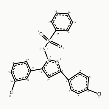 O=S(=O)(Nn1nc(-c2ccc(Cl)cc2)cc1-c1cccc(Cl)c1)c1ccccc1